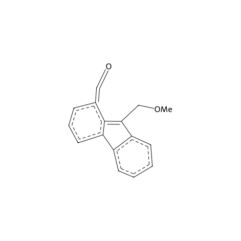 COCC1=c2c(cccc2=C=O)-c2ccccc21